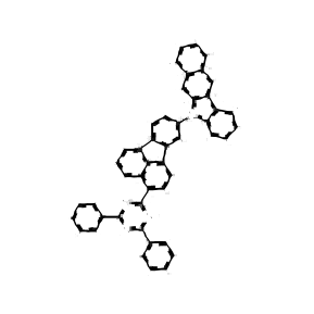 c1ccc(-c2nc(-c3ccccc3)nc(-c3ccc4c5c(cccc35)-c3ccc(-n5c6ccccc6c6cc7ccccc7cc65)cc3-4)n2)cc1